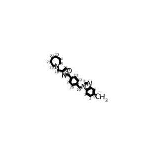 Cc1ccc2c(c1)ncn2Cc1ccc(-c2nc(CN3CCCCCC3)co2)cc1